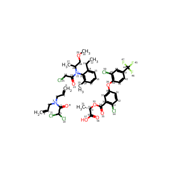 C=CCN(CC=C)C(=O)C(Cl)Cl.CCc1cccc(C)c1N(C(=O)CCl)C(C)COC.C[C@H](OC(=O)c1cc(Oc2ccc(C(F)(F)F)cc2Cl)ccc1Cl)C(=O)O